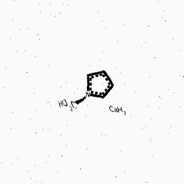 O=C(O)n1cccc1.[CaH2]